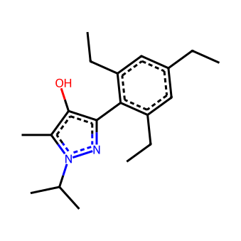 CCc1cc(CC)c(-c2nn(C(C)C)c(C)c2O)c(CC)c1